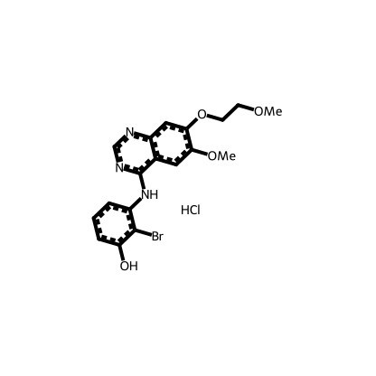 COCCOc1cc2ncnc(Nc3cccc(O)c3Br)c2cc1OC.Cl